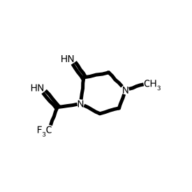 CN1CCN(C(=N)C(F)(F)F)C(=N)C1